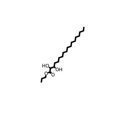 CCCCCCCCCCCCCCCC(O)C(O)C(=O)OCCC